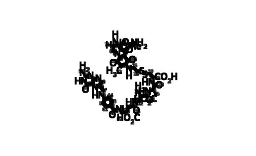 CO[C@@]12[C@H](OC(N)=O)C3=C(C(=O)C(C)=C(NCCSSC[C@@H](NC(=O)[C@@H](CC(=O)O)NC(=O)[C@H](N)CNC(=O)CC[C@@H](NC(=O)c4ccc(NCc5cnc6nc(N)[nH]c(=O)c6n5)cc4)C(=O)O)C(=O)O)C3=O)N1C[C@@H]1N[C@@H]12